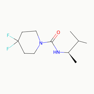 CC(C)[C@@H](C)NC(=O)N1CCC(F)(F)CC1